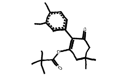 Cc1ccc(C2=C(OC(=O)C(C)(C)C)CC(C)(C)CC2=O)cc1C